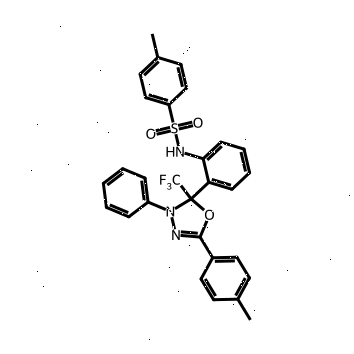 Cc1ccc(C2=NN(c3ccccc3)C(c3ccccc3NS(=O)(=O)c3ccc(C)cc3)(C(F)(F)F)O2)cc1